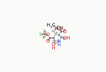 CC(C)CC1C(C(=O)O)C(O)NC(O)C1C(=O)OC(F)(F)F